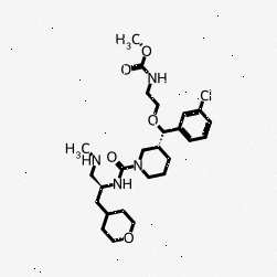 CNC[C@H](CC1CCOCC1)NC(=O)N1CCC[C@@H](C(OCCNC(=O)OC)c2cccc(Cl)c2)C1